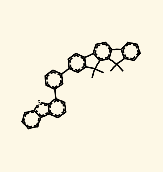 CC1(C)c2ccccc2-c2ccc3c(c21)C(C)(C)c1cc(-c2cccc(-c4cccc5c4sc4ccccc45)c2)ccc1-3